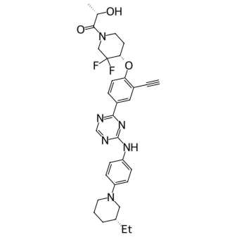 C#Cc1cc(-c2ncnc(Nc3ccc(N4CCC[C@@H](CC)C4)cc3)n2)ccc1O[C@H]1CCN(C(=O)[C@H](C)O)CC1(F)F